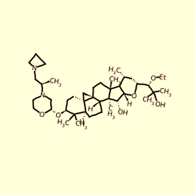 CCO[C@@H]([C@H]1C[C@@H](C)C2[C@H](O1)[C@H](O)[C@@]1(C)[C@@H]3CC[C@H]4C(C)(C)[C@@H](O[C@H]5CN([C@H](C)CN6CCC6)CCO5)CC[C@@]45C[C@@]35CC[C@]21C)C(C)(C)O